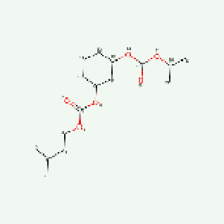 CC(C)CCOC(=O)OC1CCCC(OC(=O)OC(C)C)C1